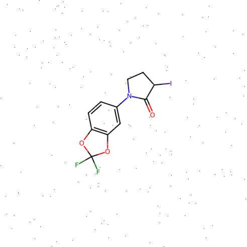 O=C1C(I)CCN1c1ccc2c(c1)OC(F)(F)O2